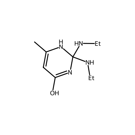 CCNC1(NCC)N=C(O)C=C(C)N1